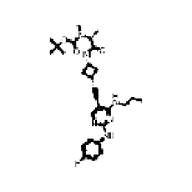 CCCNc1nc(Nc2ccc(F)cc2)ncc1C#C[C@H]1C[C@@H](NC(=O)[C@H](C)N(C)C(=O)OC(C)(C)C)C1